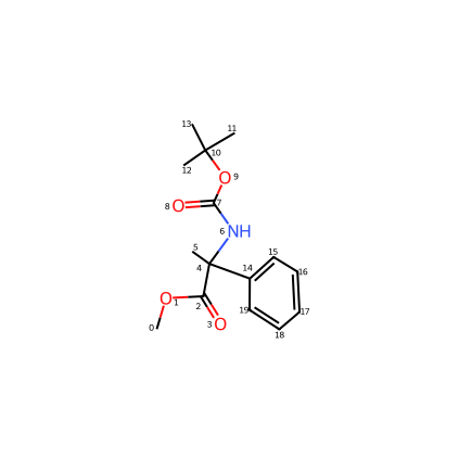 COC(=O)C(C)(NC(=O)OC(C)(C)C)c1ccccc1